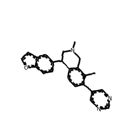 Cc1c(-c2cncnc2)ccc2c1CN(C)CC2c1ccc2occc2c1